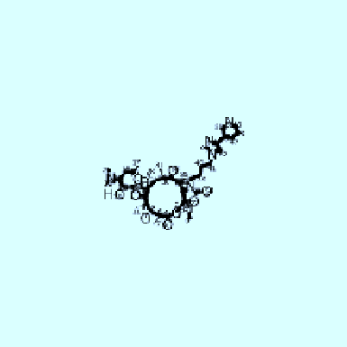 CC[C@@H]1OC(=O)[C@H](C)C(=O)[C@H](C)[C@@H](O[C@@H]2O[C@H](C)C[C@H](N(C)C)[C@H]2O)[C@](C)(OC)C[C@@H](C)C(=O)[C@@H](C)[C@H]2N(CCCCn3cnc(-c4cccnc4)c3)C(=O)O[C@]12C